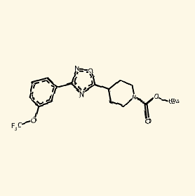 CC(C)(C)OC(=O)N1CCC(c2nc(-c3cccc(OC(F)(F)F)c3)no2)CC1